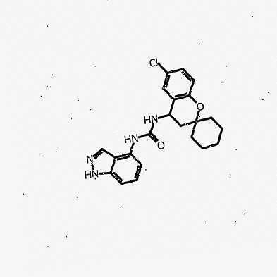 O=C(Nc1cccc2[nH]ncc12)NC1CC2(CCCCC2)Oc2ccc(Cl)cc21